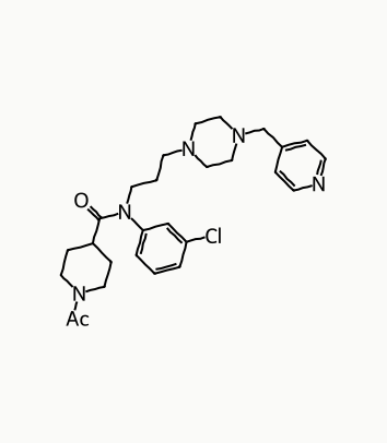 CC(=O)N1CCC(C(=O)N(CCCN2CCN(Cc3ccncc3)CC2)c2cccc(Cl)c2)CC1